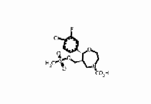 CS(=O)(=O)OC[C@@H]1CN(C(=O)O)CCO[C@H]1c1ccc(Cl)c(F)c1